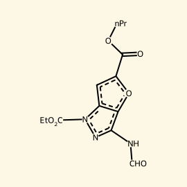 CCCOC(=O)c1cc2c(o1)c(NC=O)nn2C(=O)OCC